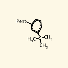 CCCC(C)c1cccc([Si](C)(C)C)c1